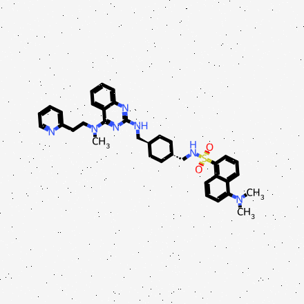 CN(C)c1cccc2c(S(=O)(=O)NC[C@H]3CC[C@H](CNc4nc(N(C)CCc5ccccn5)c5ccccc5n4)CC3)cccc12